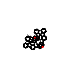 N#Cc1ccc(-n2c3ccccc3c3ccc4c(c32)C(c2ccccc2)(c2ccccc2)c2ccccc2-4)c(-n2c3ccccc3c3ccc4c(c32)C(c2ccccc2)(c2ccccc2)c2ccccc2-4)c1C#N